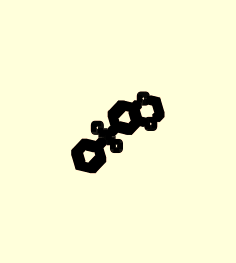 O=S(=O)(c1ccccc1)c1ccc2c(c1)OCCO2